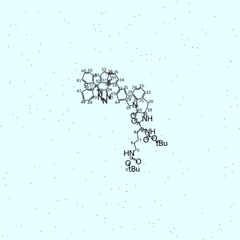 CC(C)(C)OC(=O)NCCCC[C@H](NC(=O)OC(C)(C)C)C(=O)NC1CCc2ccccc2N(Cc2ccc(-c3ccccc3-c3nnnn3C(c3ccccc3)(c3ccccc3)c3ccccc3)cc2)C1=O